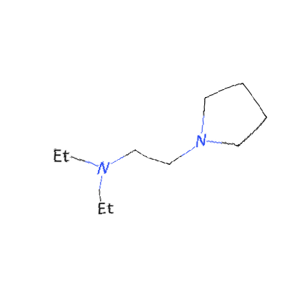 CCN(CC)CCN1CCCC1